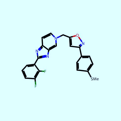 CSc1ccc(-c2cc(Cn3ccc4nc(-c5cccc(F)c5F)nc-4c3)on2)cc1